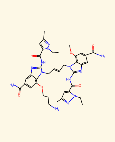 CCn1nc(C)cc1C(=O)Nc1nc2cc(C(N)=O)cc(OC)c2n1C/C=C/Cn1c(NC(=O)c2cc(C)nn2CC)nc2cc(C(N)=O)cc(OCCCN)c21